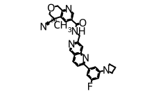 C[C@@]1(C#N)COCc2ncc(C(=O)NCc3cc4nc(-c5cc(F)cc(N6CCC6)c5)ccc4cn3)cc21